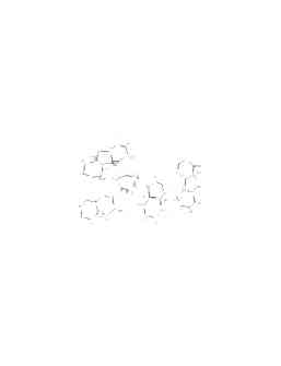 c1ccc2cc(-c3nc(-c4ccc(-c5cccc6oc7ccccc7c56)c5ccccc45)nc(-c4cccc5oc6cccnc6c45)n3)ccc2c1